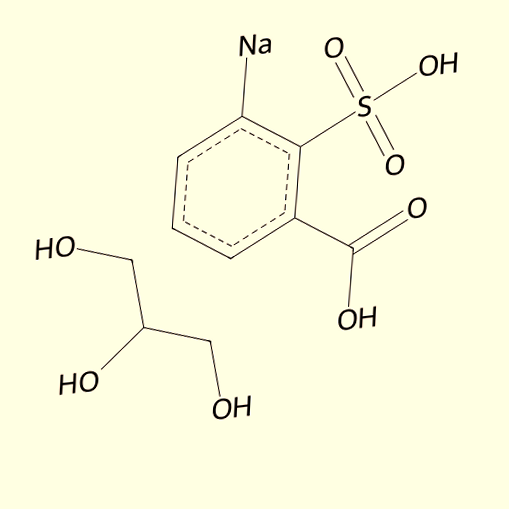 O=C(O)c1ccc[c]([Na])c1S(=O)(=O)O.OCC(O)CO